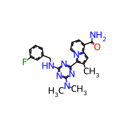 Cc1cc2c(C(N)=O)cccn2c1-c1nc(NCc2cccc(F)c2)nc(N(C)C)n1